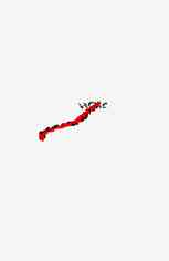 CC(=O)CC(O)/C(C)=C/C=C/C(C)=C/C=C/C=C(C)/C=C/C=C(C)/C=C/C1=C(C)CCCC1(C)C